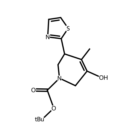 CC1=C(O)CN(C(=O)OC(C)(C)C)CC1c1nccs1